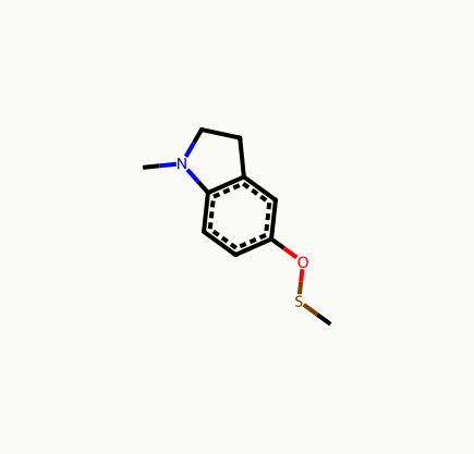 CSOc1ccc2c(c1)CCN2C